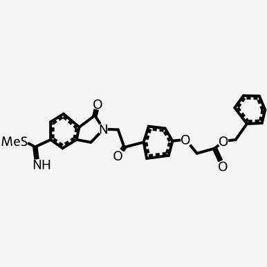 CSC(=N)c1ccc2c(c1)CN(CC(=O)c1ccc(OCC(=O)OCc3ccccc3)cc1)C2=O